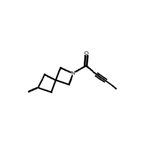 CC#CC(=O)N1CC2(CC(C)C2)C1